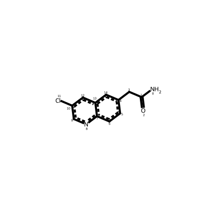 NC(=O)Cc1ccc2ncc(Cl)cc2c1